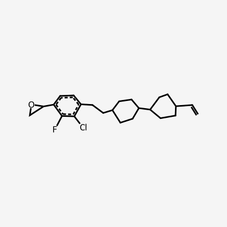 C=CC1CCC(C2CCC(CCc3ccc(C4CO4)c(F)c3Cl)CC2)CC1